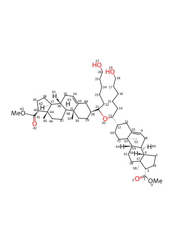 COC(=O)[C@H]1CC[C@H]2[C@@H]3CC=C4C[C@@H](C(CCCCCO)OC(CCCCCO)[C@H]5CC[C@@]6(C)C(=CC[C@H]7[C@@H]8CC[C@H](C(=O)OC)[C@@]8(C)CC[C@@H]76)C5)CC[C@]4(C)[C@H]3CC[C@]12C